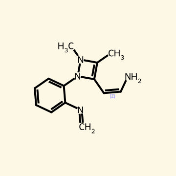 C=Nc1ccccc1-n1c(/C=C\N)c(C)n1C